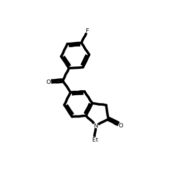 CCN1C(=O)Cc2cc(C(=O)c3ccc(F)cc3)ccc21